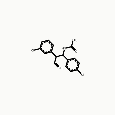 C=CC(c1cccc(Cl)c1)C(NC(C)=O)c1ccc(Cl)cc1